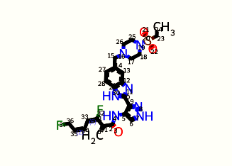 C=C(C(=O)Nc1c[nH]nc1-c1nc2cc(CN3CCN(S(=O)(=O)CC)CC3)ccc2[nH]1)/C(F)=C\C=C/CF